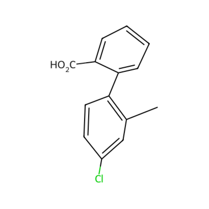 Cc1cc(Cl)ccc1-c1ccccc1C(=O)O